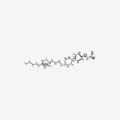 CCCCC[SiH]1CCC(CCCC[C@H]2CC[C@H](c3ccc(OCC(F)F)cc3)CC2)CC1